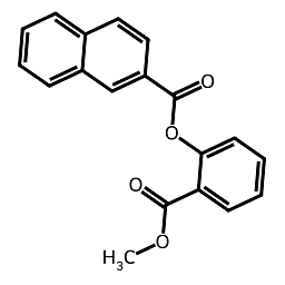 COC(=O)c1ccccc1OC(=O)c1ccc2ccccc2c1